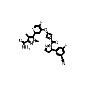 Cc1c(C(N)=O)nn(C)c1-c1cc(OC2CN(C(=O)N3N=CCC3c3cc(F)cc(C#N)c3)C2)c(F)cn1